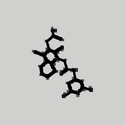 O=C(O)Cn1c(=O)c2ccccc2n(CC(=O)Nc2cc(Cl)nc(Cl)c2)c1=O